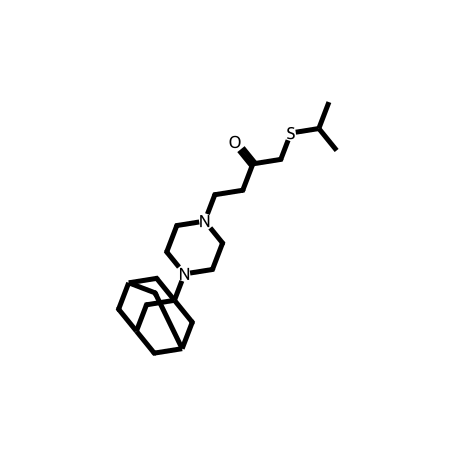 CC(C)SCC(=O)CCN1CCN(C23CC4CC(CC(C4)C2)C3)CC1